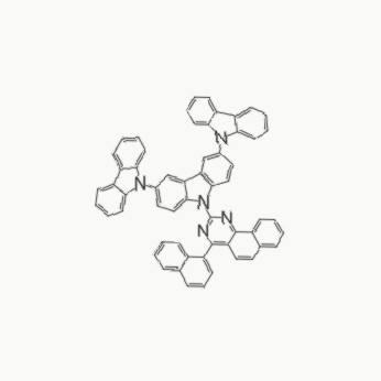 c1ccc2c(-c3nc(-n4c5ccc(-n6c7ccccc7c7ccccc76)cc5c5cc(-n6c7ccccc7c7ccccc76)ccc54)nc4c3ccc3ccccc34)cccc2c1